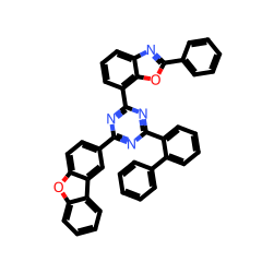 c1ccc(-c2nc3cccc(-c4nc(-c5ccc6oc7ccccc7c6c5)nc(-c5ccccc5-c5ccccc5)n4)c3o2)cc1